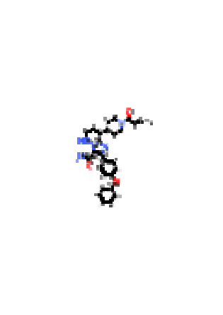 C=CC(=O)N1CCC(C2CCNn3c2nc(-c2ccc(Oc4ccccc4)cc2)c3C(N)=O)CC1